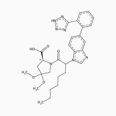 CCCCCCC(C(=O)N1CC(OC)(OC)C[C@H]1C(=O)O)n1cnc2cc(-c3ccccc3-c3nn[nH]n3)ccc21